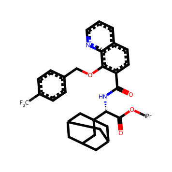 CC(C)OC(=O)[C@@H](NC(=O)c1ccc2cccnc2c1OCc1ccc(C(F)(F)F)cc1)C12CC3CC(CC(C3)C1)C2